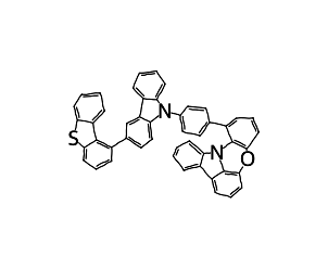 c1cc2c(c(-c3ccc(-n4c5ccccc5c5cc(-c6cccc7sc8ccccc8c67)ccc54)cc3)c1)-n1c3ccccc3c3cccc(c31)O2